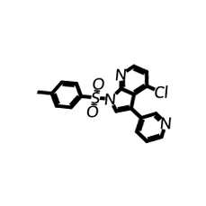 Cc1ccc(S(=O)(=O)n2cc(-c3cccnc3)c3c(Cl)ccnc32)cc1